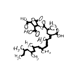 CCC(C)CC(C)CC(C)CC(C)/C=C(C)/C=C(\CC(C)C(=O)OC1C(=O)OC(C(=O)O)C1C(=O)O)C(=O)O